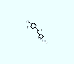 Cn1ccc(CNc2ccc(Cl)c(F)c2)n1